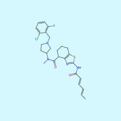 CC=CC=CC(=O)Nc1nc2c(s1)CCCC2C(=O)N(C)C1CCN(Cc2c(F)cccc2Cl)C1